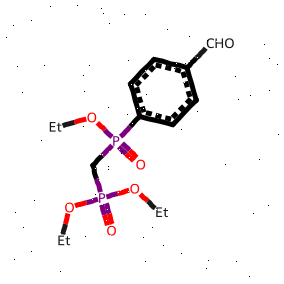 CCOP(=O)(CP(=O)(OCC)c1ccc(C=O)cc1)OCC